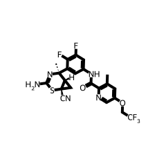 Cc1cc(OCC(F)(F)F)cnc1C(=O)Nc1cc(F)c(F)c([C@]2(C)N=C(N)S[C@@]3(C#N)C[C@@H]23)c1